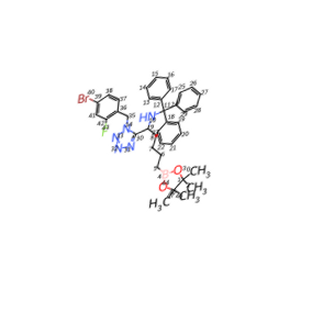 CC1(C)OB(CCCCC(NC(c2ccccc2)(c2ccccc2)c2ccccc2)c2nnnn2Cc2ccc(Br)cc2F)OC1(C)C